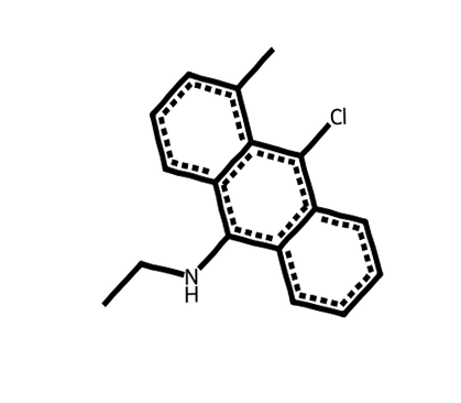 CCNc1c2ccccc2c(Cl)c2c(C)cccc12